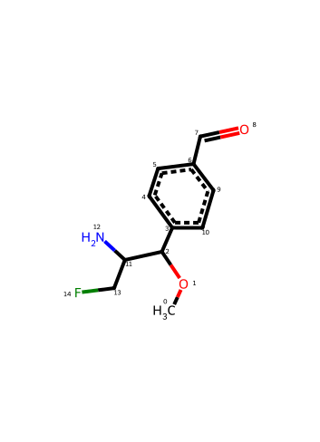 COC(c1ccc(C=O)cc1)C(N)CF